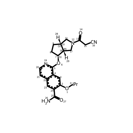 CC(C)Oc1cc2c(O[C@H]3CC[C@@H]4CN(C(=O)CC#N)C[C@@H]43)nccc2cc1C(N)=O